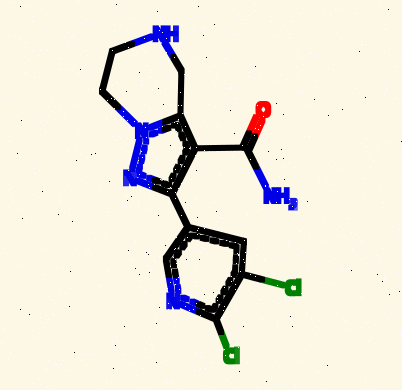 NC(=O)c1c(-c2cnc(Cl)c(Cl)c2)nn2c1CNCC2